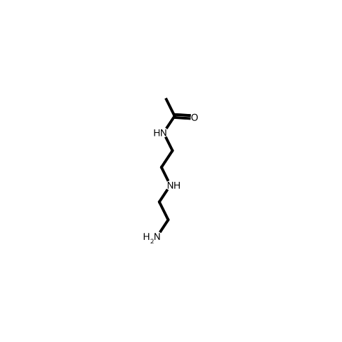 CC(=O)NCCNCCN